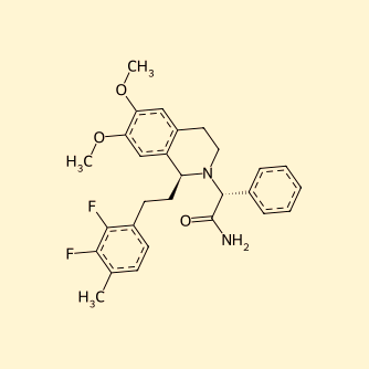 COc1cc2c(cc1OC)[C@H](CCc1ccc(C)c(F)c1F)N([C@@H](C(N)=O)c1ccccc1)CC2